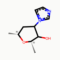 C[C@@H]1CC(n2ccnc2)C(O)[C@H](C)O1